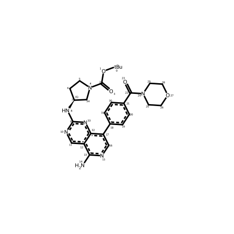 CC(C)(C)OC(=O)N1CC[C@H](Nc2ncc3c(N)ncc(-c4ccc(C(=O)N5CCOCC5)cc4)c3n2)C1